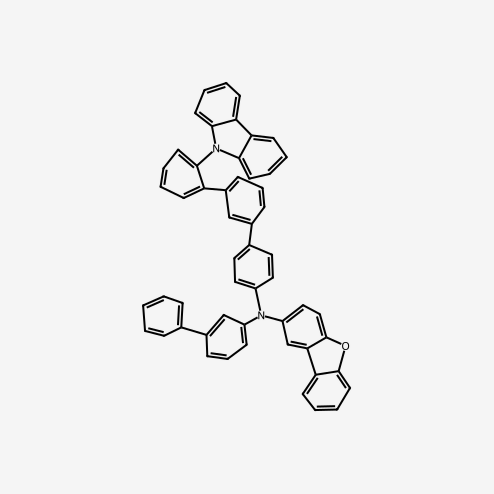 c1ccc(-c2cccc(N(c3ccc(-c4cccc(-c5ccccc5-n5c6ccccc6c6ccccc65)c4)cc3)c3ccc4oc5ccccc5c4c3)c2)cc1